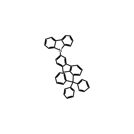 c1ccc(C(c2ccccc2)(c2ccccc2)c2cccc3c2Cc2ccc(-n4c5ccccc5c5ccccc54)cc2-3)cc1